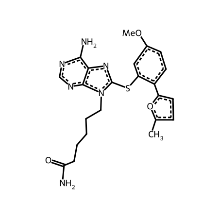 COc1ccc(-c2ccc(C)o2)c(Sc2nc3c(N)ncnc3n2CCCCCC(N)=O)c1